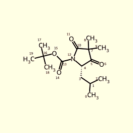 CC(C)C[C@H]1C(=O)C(C)(C)C(=O)N1C(=O)OC(C)(C)C